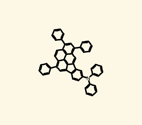 c1ccc(-c2cc(-c3ccccc3)c3cc4c5c(cc(-c6ccccc6)c6ccc2c3c65)-c2ccc(N(c3ccccc3)c3ccccc3)cc2-4)cc1